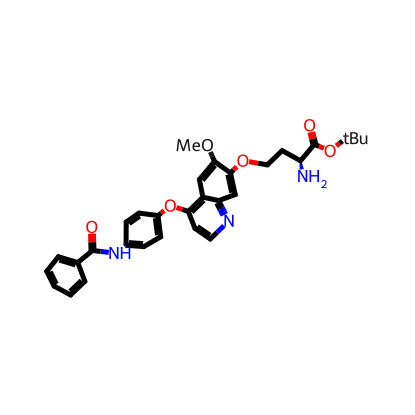 COc1cc2c(Oc3ccc(NC(=O)c4ccccc4)cc3)ccnc2cc1OCC[C@H](N)C(=O)OC(C)(C)C